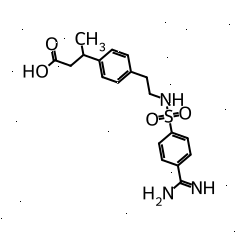 CC(CC(=O)O)c1ccc(CCNS(=O)(=O)c2ccc(C(=N)N)cc2)cc1